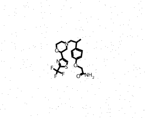 CC(CN1CCOC(c2csc(C(F)(F)F)n2)C1)c1ccc(OCC(N)=O)cc1